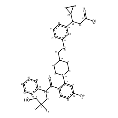 CC(I)(CO)CN(C(=O)c1ccc(O)cc1N1CCC(COc2cc(C(CC(=O)O)C3CC3)ccn2)CC1)c1ccccn1